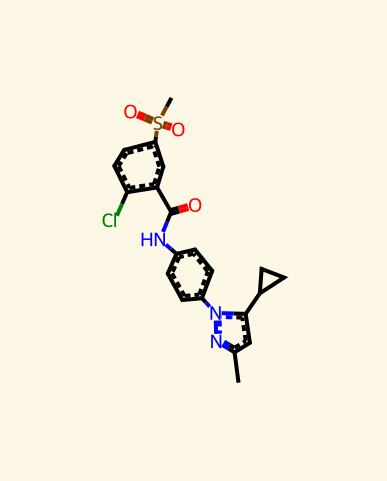 Cc1cc(C2CC2)n(-c2ccc(NC(=O)c3cc(S(C)(=O)=O)ccc3Cl)cc2)n1